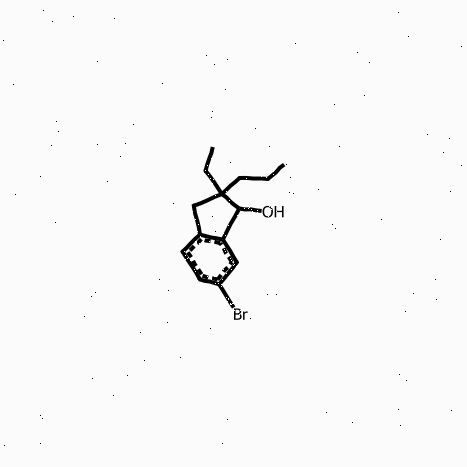 CCCC1(CC)Cc2ccc(Br)cc2C1O